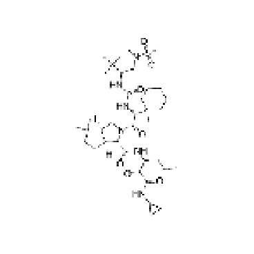 CCCC(NC(=O)[C@@H]1[C@H]2CCC(C)(C)[C@H]2CN1C(=O)[C@@H](NC(=O)N[C@H](CN(C)S(C)(=O)=O)C(C)(C)C)C1(C)CCCCC1)C(=O)C(=O)NC1CC1